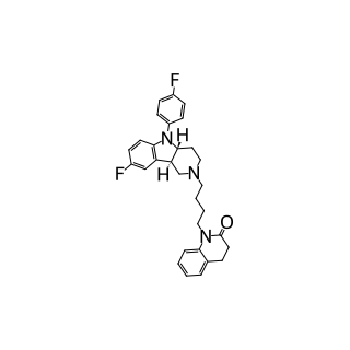 O=C1CCc2ccccc2N1CCCCN1CC[C@@H]2[C@@H](C1)c1cc(F)ccc1N2c1ccc(F)cc1